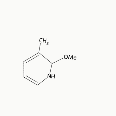 COC1NC=CC=C1C